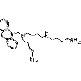 NCCCCNCCCCN(CCCCN)Cc1c2ccccc2cc2ccccc12